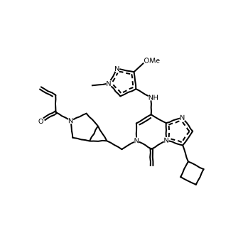 C=CC(=O)N1CC2C(CN3C=C(Nc4cn(C)nc4OC)c4ncc(C5CCC5)n4C3=C)C2C1